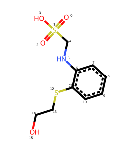 O=S(=O)(O)CNc1ccccc1SCCO